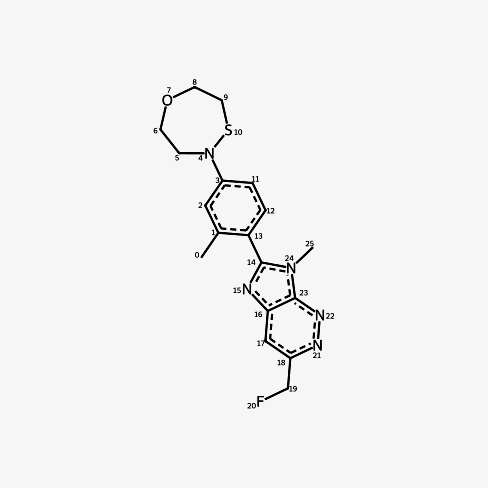 Cc1cc(N2CCOCCS2)ccc1-c1nc2cc(CF)nnc2n1C